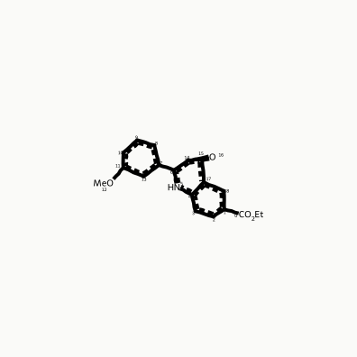 CCOC(=O)c1ccc2[nH]c(-c3cccc(OC)c3)cc(=O)c2c1